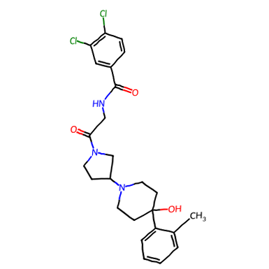 Cc1ccccc1C1(O)CCN(C2CCN(C(=O)CNC(=O)c3ccc(Cl)c(Cl)c3)C2)CC1